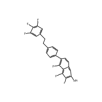 CCCc1cc2ccc(-c3ccc(CCc4cc(F)c(F)c(F)c4)cc3)c(F)c2c(F)c1F